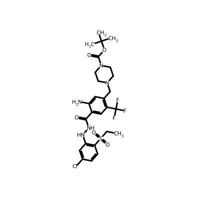 CCS(=O)(=O)c1ccc(Cl)cc1NNC(=O)c1cc(C(F)(F)F)c(CN2CCN(C(=O)OC(C)(C)C)CC2)cc1N